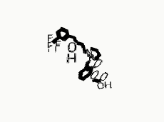 O=C(O)COc1cccc(CN2C(=O)CCCN2CCC(O)Cc2cccc(C(F)(F)F)c2)c1